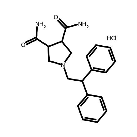 Cl.NC(=O)C1CN(CC(c2ccccc2)c2ccccc2)CC1C(N)=O